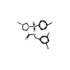 O=C(NCc1cc(Br)cc(I)c1)[C@@H]1C[C@@H](F)CN1S(=O)(=O)c1ccc(F)cc1